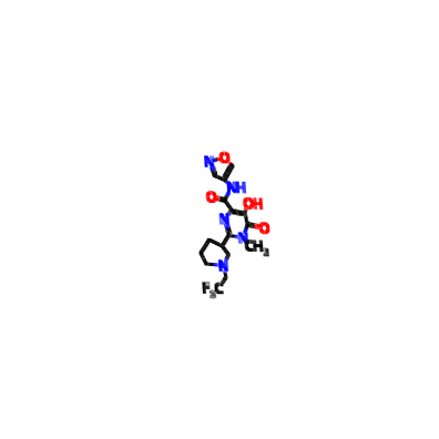 Cn1c(C2CCCN(CC(F)(F)F)C2)nc(C(=O)Nc2cnoc2)c(O)c1=O